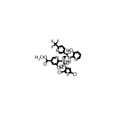 COC(=O)c1cnc(NS(=O)(=O)c2cc(Cl)sc2Cl)c(O)c1.O=S(=O)(Nc1ncccc1O)c1ccc(C(F)(F)F)nc1